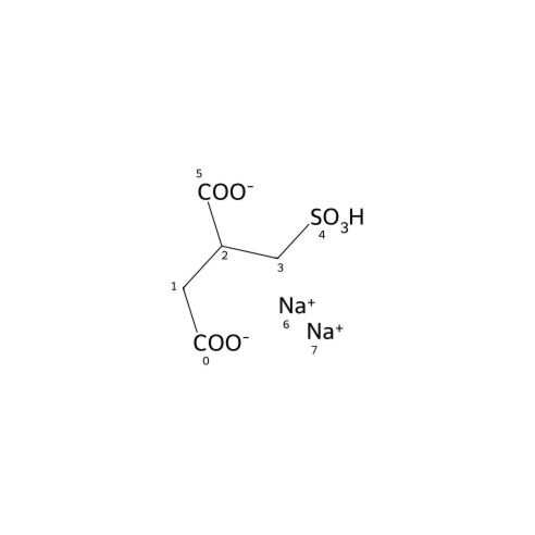 O=C([O-])CC(CS(=O)(=O)O)C(=O)[O-].[Na+].[Na+]